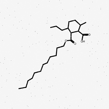 CCCCCCCCCCCCOC(=O)C1C(CCC)CCC(C)C1C(=O)O